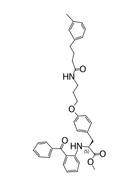 COC(=O)[C@H](Cc1ccc(OCCCNC(=O)CCCc2cccc(C)c2)cc1)Nc1ccccc1C(=O)c1ccccc1